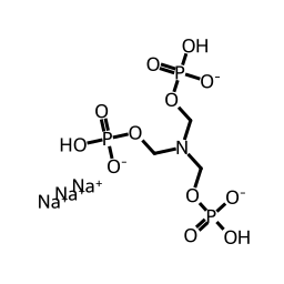 O=P([O-])(O)OCN(COP(=O)([O-])O)COP(=O)([O-])O.[Na+].[Na+].[Na+]